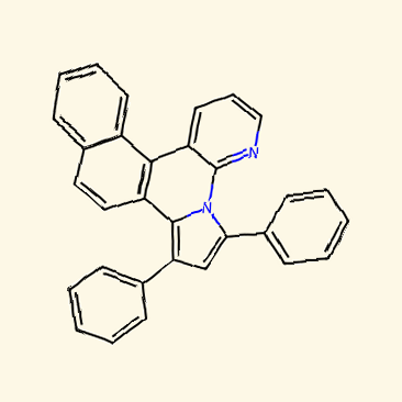 c1ccc(-c2cc(-c3ccccc3)n3c4ncccc4c4c5ccccc5ccc4c23)cc1